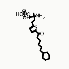 CC(N)(CCc1ccc(C(=O)CCCCCC2CCCCC2)s1)COP(=O)(O)O